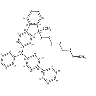 CCCCCCCCC1(C)c2ccccc2-c2ccc(N(c3ccccc3)c3ccc(-c4ccccc4)cc3)cc21